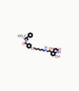 O=C(c1ccc(OCCCCCCNCC(O)c2ccc(O)c3[nH]c(=O)ccc23)cc1)N1CC(C(=O)O)(c2ccccc2)C1